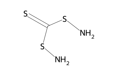 NSC(=S)SN